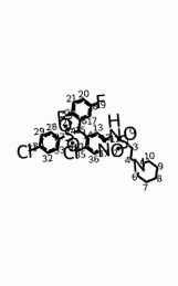 O=S(=O)(CCN1CCCCC1)Nc1cc(C(c2cc(F)ccc2F)S(=O)(=O)c2ccc(Cl)cc2)c(Cl)cn1